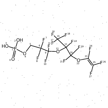 O=P(O)(O)OCC(F)(F)C(F)(F)OC(F)(C(F)(F)F)C(F)(F)OC(F)=C(F)F